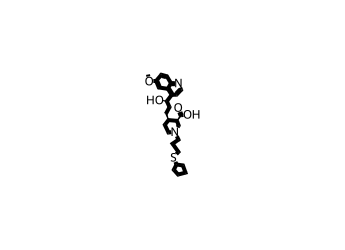 COc1ccc2nccc([C@@H](O)CC[C@@H]3CCN(CCCSC4CCCC4)C[C@@H]3C(=O)O)c2c1